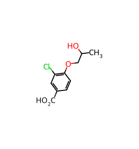 CC(O)COc1ccc(C(=O)O)cc1Cl